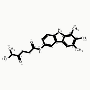 Cc1cc2c([nH]c3ccc(NC(=O)CCC(=O)C(C)C)cc32)c(C)c1C